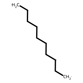 [CH2]C[CH]CCCCCC[CH2]